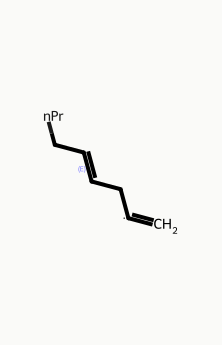 C=[C]C/C=C/CCCC